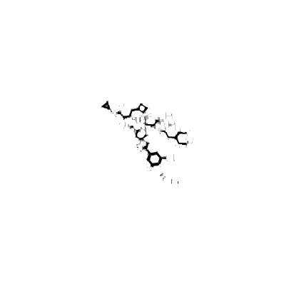 CCOc1c(F)cc(C2=NO[C@]3(C2)C[C@@H](C(=O)NC(CC2CCC2)C(=O)C(=O)NC2CC2)N(C(=O)[C@@H](NC(=O)CC2CCOCC2)C(C)(C)C)C3)cc1Cl